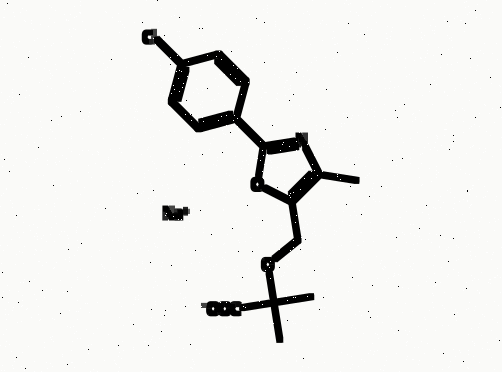 Cc1nc(-c2ccc(Cl)cc2)oc1COC(C)(C)C(=O)[O-].[Na+]